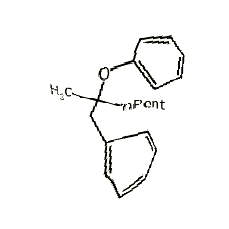 [CH2]CCCCC(C)(Cc1ccccc1)Oc1ccccc1